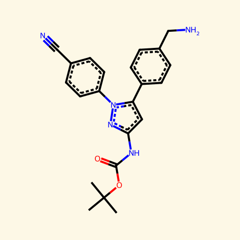 CC(C)(C)OC(=O)Nc1cc(-c2ccc(CN)cc2)n(-c2ccc(C#N)cc2)n1